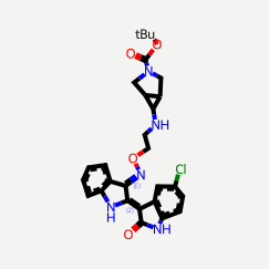 CC(C)(C)OC(=O)N1CC2C(C1)C2NCCO/N=C1/C(=C2/C(=O)Nc3ccc(Cl)cc32)Nc2ccccc21